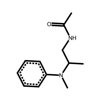 CC(=O)NCC(C)N(C)c1ccccc1